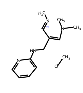 C/N=C/C(=CN(C)C)CNc1ccccn1.CCl